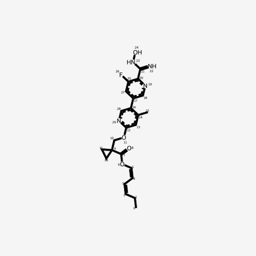 CC/C=C\C=C/OC(=O)C1(COc2cc(C)c(-c3cnc(C(=N)NO)c(F)c3)cn2)CC1